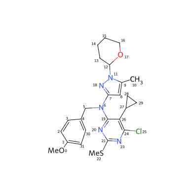 COc1ccc(CN(c2cc(C)n(C3CCCCO3)n2)c2nc(SC)nc(Cl)c2C2CC2)cc1